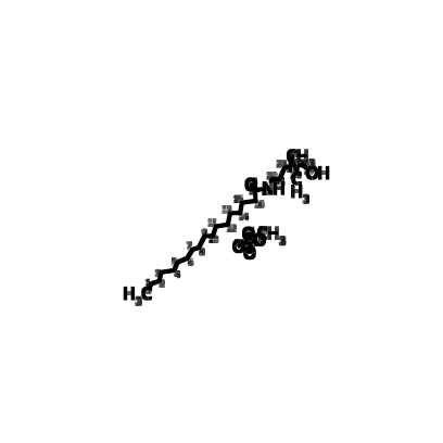 CCCCCCCCCCCCCCCCCC(=O)NCCC[N+](C)(C)CO.COS(=O)(=O)[O-]